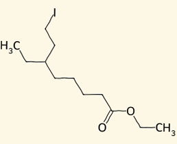 CCOC(=O)CCCCC(CC)CCI